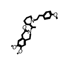 COc1ccc(CCN2CCCCC2C(C)N2CCc3cc(OC)c(OC)cc3CC2=O)cc1